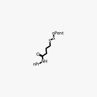 CCCCCSSCCCC(=O)NCCC